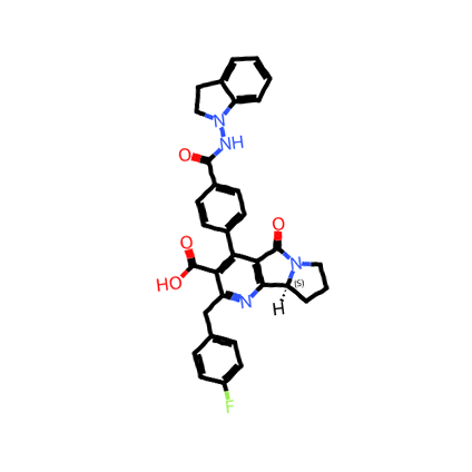 O=C(NN1CCc2ccccc21)c1ccc(-c2c(C(=O)O)c(Cc3ccc(F)cc3)nc3c2C(=O)N2CCC[C@@H]32)cc1